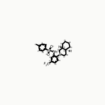 Cc1ccc(S(=O)(=O)Nc2cc(C(F)(F)F)ccc2N2CC[C@@H]3CCCC[C@H]3C2)cc1